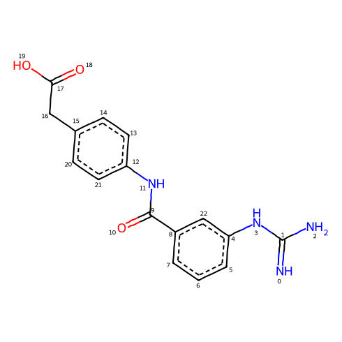 N=C(N)Nc1cccc(C(=O)Nc2ccc(CC(=O)O)cc2)c1